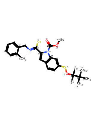 CCC(C)(OSc1ccc2cc(/C(S)=N/Cc3ccccc3C)n(C(=O)OC(C)(C)C)c2c1)C(C)(C)OC